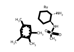 CS(=O)(=O)N[C@H]1CCCC[C@@H]1N.Cc1cc(C)c(C)c(C)c1.[Ru]